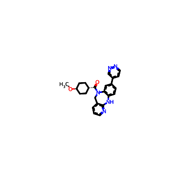 CO[C@H]1CC[C@H](C(=O)N2Cc3cccnc3Nc3ccc(-c4ccnnc4)cc32)CC1